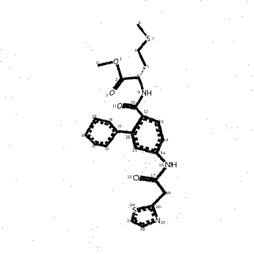 COC(=O)[C@H](CCSC)NC(=O)c1ccc(NC(=O)Cc2nccs2)cc1-c1ccccc1